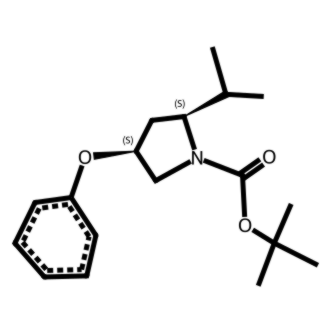 CC(C)[C@@H]1C[C@H](Oc2ccccc2)CN1C(=O)OC(C)(C)C